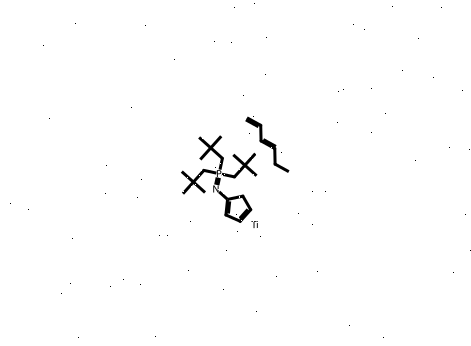 C=CC=CCC.CC(C)(C)CP(CC(C)(C)C)(CC(C)(C)C)=NC1=CC=CC1.[Ti]